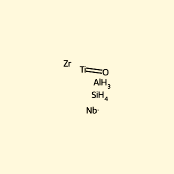 [AlH3].[Nb].[O]=[Ti].[SiH4].[Zr]